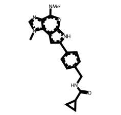 CNc1nc2[nH]c(-c3ccc(CNC(=O)C4CC4)cc3)cc2c2c1ncn2C